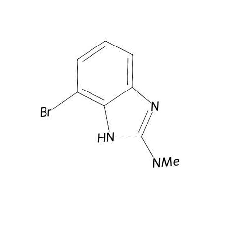 CNc1nc2cccc(Br)c2[nH]1